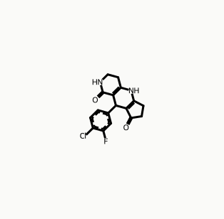 O=C1CCC2=C1C(c1ccc(Cl)c(F)c1)C1=C(CCNC1=O)N2